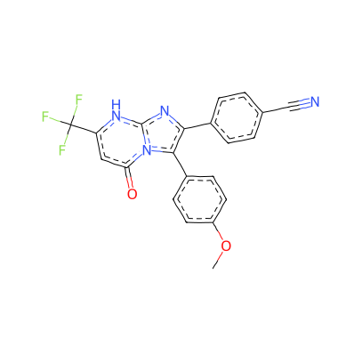 COc1ccc(-c2c(-c3ccc(C#N)cc3)nc3[nH]c(C(F)(F)F)cc(=O)n23)cc1